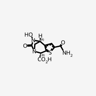 NC(=O)c1cc2c(s1)[C@@H](C(=O)O)N1C[C@@H]2N(O)C1=O